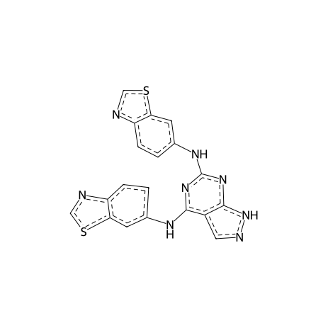 c1nc2ccc(Nc3nc(Nc4ccc5ncsc5c4)c4cn[nH]c4n3)cc2s1